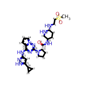 CS(=O)(=O)CCN[C@H]1CCC(NC(=O)[C@@H]2CCCN2c2nc(Nc3cc(C4CC4)[nH]n3)c3cccn3n2)CN1